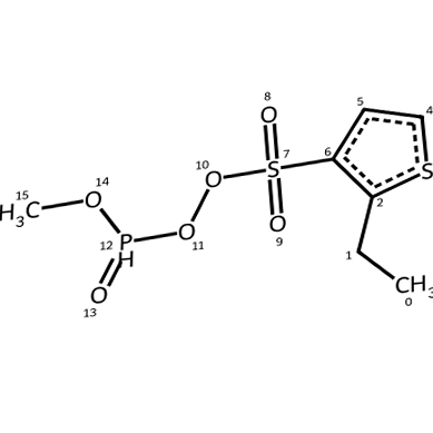 CCc1sccc1S(=O)(=O)OO[PH](=O)OC